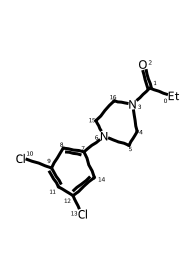 CCC(=O)N1CCN(c2cc(Cl)cc(Cl)c2)CC1